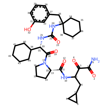 NC(=O)C(=O)C(CC1CC1)NC(=O)[C@@H]1CCCN1C(=O)[C@@H](NC(=O)NC1(Cc2cccc(O)c2)CCCCC1)C1CCCCC1